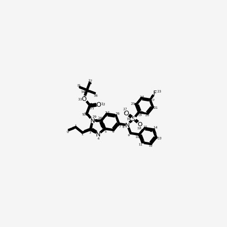 CCCc1nc2cc(N(Cc3ccccc3)S(=O)(=O)c3ccc(F)cc3)ccc2n1CC(=O)OC(C)(C)C